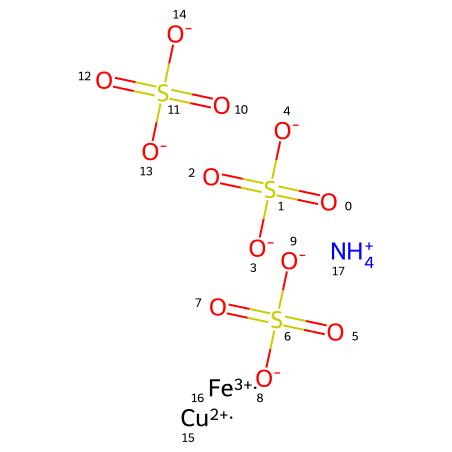 O=S(=O)([O-])[O-].O=S(=O)([O-])[O-].O=S(=O)([O-])[O-].[Cu+2].[Fe+3].[NH4+]